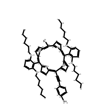 CCCCCCOc1cccc(OCCCCCC)c1-c1c2nc(c(C#Cc3ccc(N)cc3)c3ccc([nH]3)c(-c3c(OCCCCCC)cccc3OCCCCCC)c3nc(c(Br)c4ccc1[nH]4)C=C3)C=C2